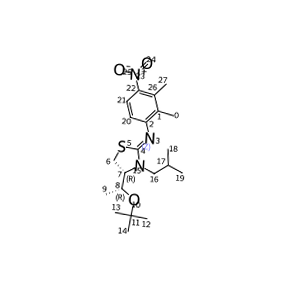 Cc1c(/N=C2\SC[C@@H]([C@@H](C)OC(C)(C)C)N2CC(C)C)ccc([N+](=O)[O-])c1C